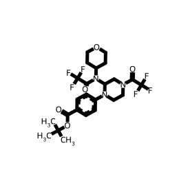 CC(C)(C)OC(=O)c1ccc(N2CCN(C(=O)C(F)(F)F)CC2N(C(=O)C(F)(F)F)C2CCOCC2)cc1